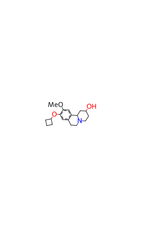 COc1cc2c(cc1OC1CCC1)CCN1CCC(O)CC21